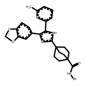 Cc1cccc(-c2[nH]c(C34CCC(C(=O)NC(C)C)(CC3)CC4)nc2-c2ccc3c(c2)OCO3)n1